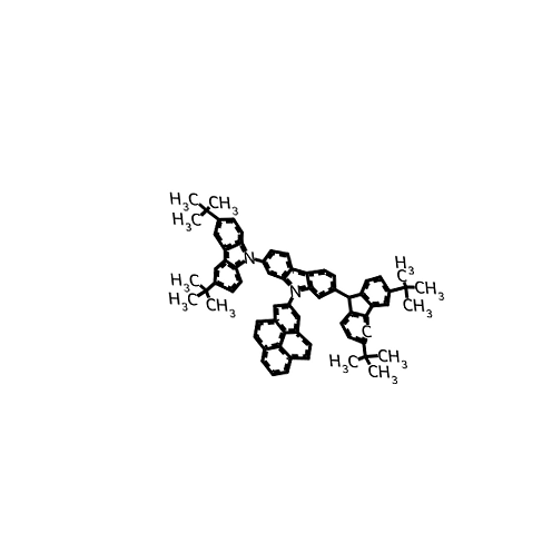 CC(C)(C)c1ccc2c(c1)-c1cc(C(C)(C)C)ccc1C2c1ccc2c3ccc(-n4c5ccc(C(C)(C)C)cc5c5cc(C(C)(C)C)ccc54)cc3n(-c3cc4ccc5cccc6ccc(c3)c4c56)c2c1